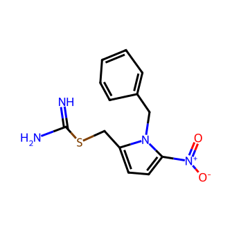 N=C(N)SCc1ccc([N+](=O)[O-])n1Cc1ccccc1